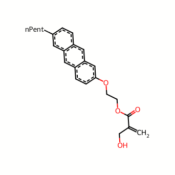 C=C(CO)C(=O)OCCOc1ccc2cc3cc(CCCCC)ccc3cc2c1